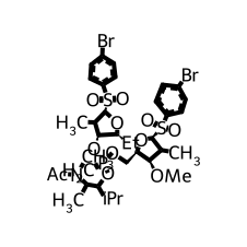 C=P(OC[C@H]1O[C@@H](S(=O)(=O)c2ccc(Br)cc2)C(C)[C@H]1OC)(OC(C(C)C)C(C)N(C)C(C)=O)O[C@@H]1C(C)[C@H](S(=O)(=O)c2ccc(Br)cc2)O[C@@H]1CC